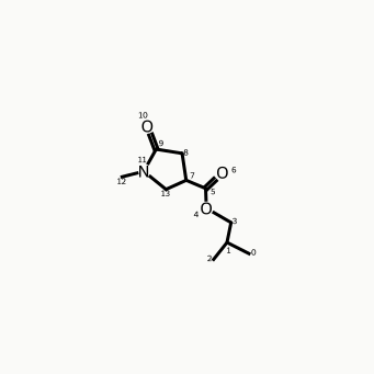 CC(C)COC(=O)C1CC(=O)N(C)C1